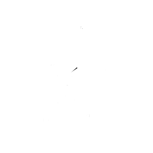 CCOC(OCC)[C@H]1[C@H](c2cc(Cl)cc(C#N)c2)C1(Cl)Cl